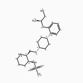 C[C@@H](CO)Oc1ccccc1[C@H]1CC[C@@H](OC[C@@H]2NCCC[C@@H]2NS(C)(=O)=O)CC1